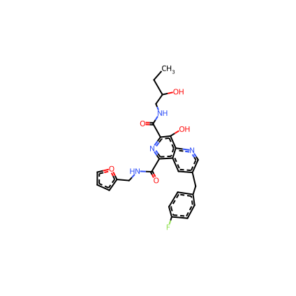 CCC(O)CNC(=O)c1nc(C(=O)NCc2ccco2)c2cc(Cc3ccc(F)cc3)cnc2c1O